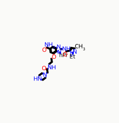 CCCn1c(NC(=O)c2cc(C)nn2CC)nc2cc(C(N)=O)cc(OCCCNC(=O)CN3CCNCC3)c21